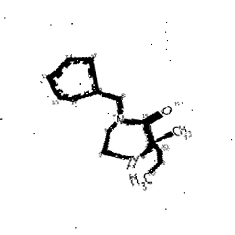 CC[C@]1(C)NCCN(Cc2ccccc2)C1=O